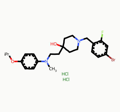 CC(C)Oc1ccc(N(C)CCC2(O)CCN(Cc3ccc(Br)cc3F)CC2)cc1.Cl.Cl